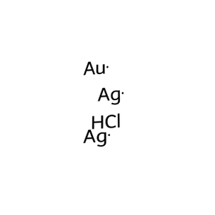 Cl.[Ag].[Ag].[Au]